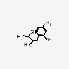 C=C(S)C(C)Cc1ccc(C)cc1S